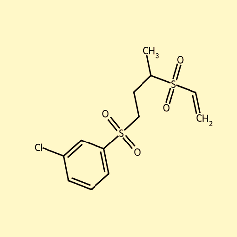 C=CS(=O)(=O)C(C)CCS(=O)(=O)c1cccc(Cl)c1